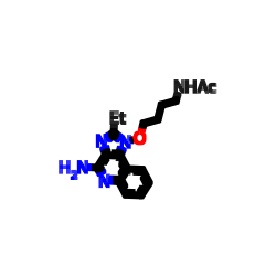 CCc1nc2c(N)nc3ccccc3c2n1OCCCCNC(C)=O